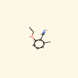 [CH2]c1cccc(OCC)c1C#N